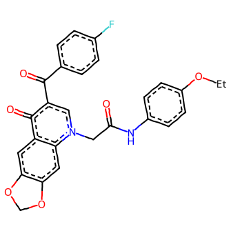 CCOc1ccc(NC(=O)Cn2cc(C(=O)c3ccc(F)cc3)c(=O)c3cc4c(cc32)OCO4)cc1